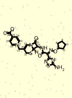 Nc1nc(C(=NOC2CCCC2)C(=O)NC2C(=O)N3C=C(C[n+]4ccc(C(=O)[O-])cc4)CS[C@@H]23)ns1